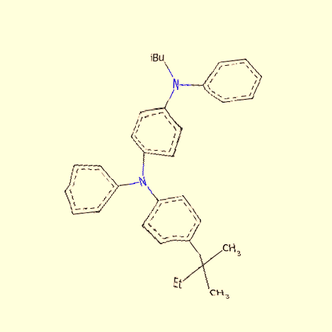 CCC(C)N(c1ccccc1)c1ccc(N(c2ccccc2)c2ccc(C(C)(C)CC)cc2)cc1